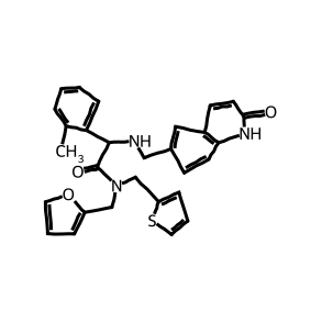 Cc1ccccc1C(NCc1ccc2[nH]c(=O)ccc2c1)C(=O)N(Cc1ccco1)Cc1cccs1